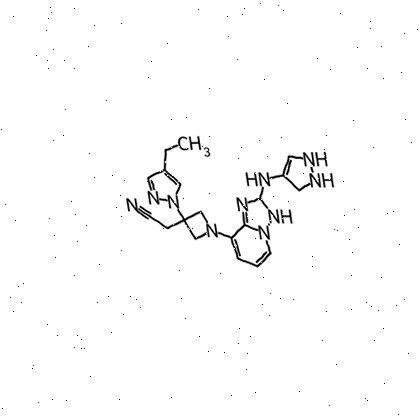 CCc1cnn(C2(CC#N)CN(C3=CC=CN4NC(NC5=CNNC5)N=C34)C2)c1